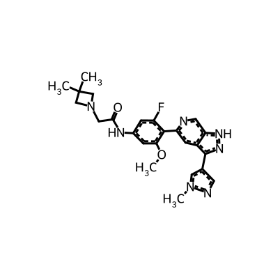 COc1cc(NC(=O)CN2CC(C)(C)C2)cc(F)c1-c1cc2c(-c3cnn(C)c3)n[nH]c2cn1